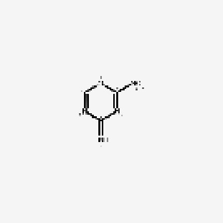 N=c1ncoc([N+](=O)[O-])n1